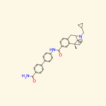 C[C@H]1C2Cc3ccc(C(=O)Nc4ccc(-c5ccc(C(N)=O)cc5)cc4)cc3[C@@]1(C)CCN2CC1CC1